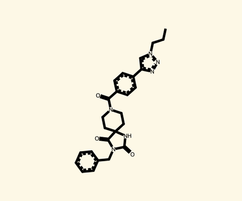 CCCn1cc(-c2ccc(C(=O)N3CCC4(CC3)NC(=O)N(Cc3ccccc3)C4=O)cc2)nn1